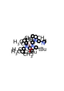 CC(C)(C)c1ccc(N2c3cc(N4c5ccc(-c6ccccn6)cc5C5(C)CCc6ccccc6C45C)ccc3B3c4cc5c(cc4N(c4ccc6c(c4)C(C)(C)CCC6(C)C)c4cc(C(C)(C)C)cc2c43)C(C)(C)CCC5(C)C)c(-c2ccccc2)c1